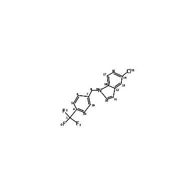 FC(F)(F)c1ccc(Cn2[c]cc3cc(Cl)ccc32)cc1